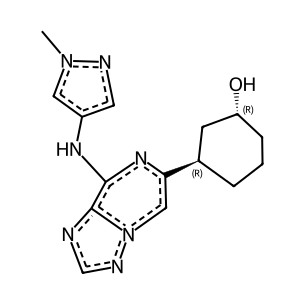 Cn1cc(Nc2nc([C@@H]3CCC[C@@H](O)C3)cn3ncnc23)cn1